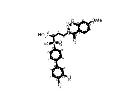 COc1ccc2c(=O)n(CCC(C(=O)O)S(=O)(=O)c3ccc(-c4ccc(Cl)c(Cl)c4)cc3)nnc2c1